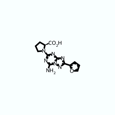 Nc1nc(N2CCC[C@H]2C(=O)O)nc2nc(-c3ccco3)nn12